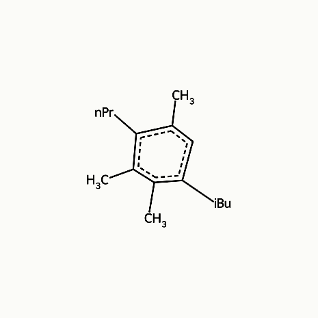 CCCc1c(C)cc(C(C)CC)c(C)c1C